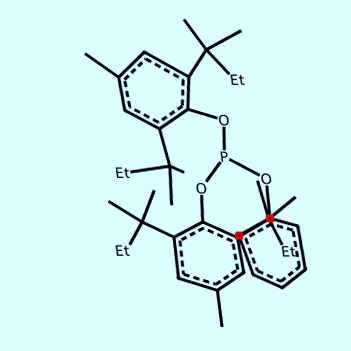 CCC(C)(C)c1cc(C)cc(C(C)(C)CC)c1OP(Oc1ccccc1)Oc1c(C(C)(C)CC)cc(C)cc1C(C)(C)CC